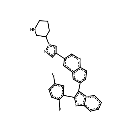 Fc1ccc(Cl)cc1-c1nc2ccccn2c1-c1ccc2ncc(-c3cnn(C4CCCNC4)c3)cc2c1